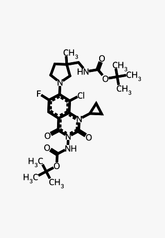 CC1(CNC(=O)OC(C)(C)C)CCN(c2c(F)cc3c(=O)n(NC(=O)OC(C)(C)C)c(=O)n(C4CC4)c3c2Cl)C1